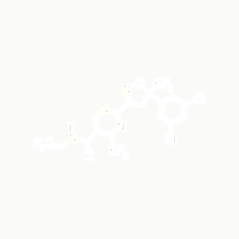 O=C(NCC(F)(F)F)c1cnc(C2=NOC(c3cc(Cl)cc(Cl)c3)(C(F)(F)F)C2)nc1C(F)(F)F